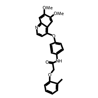 COc1cc2nccc(Oc3ccc(NC(=O)COc4ccccc4C)cc3)c2cc1OC